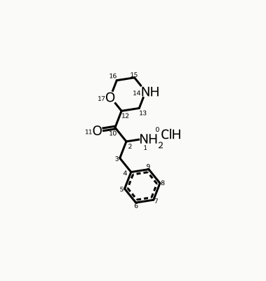 Cl.NC(Cc1ccccc1)C(=O)C1CNCCO1